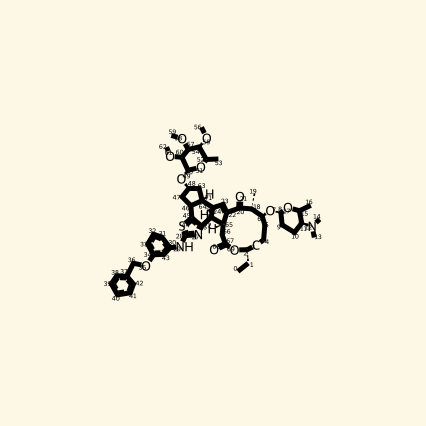 CC[C@H]1CCC[C@H](O[C@H]2CC[C@H](N(C)C)C(C)O2)[C@@H](C)C(=O)C2=C[C@@H]3C(c4nc(Nc5cccc(OCc6ccccc6)c5)sc4C4C[C@@H](O[C@@H]5OC(C)[C@H](OC)C(OC)C5OC)C[C@H]43)[C@@H]2CC(=O)O1